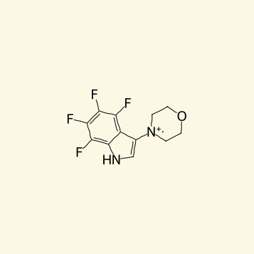 Fc1c(F)c(F)c2c([N+]3CCOCC3)c[nH]c2c1F